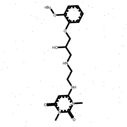 CCCCOc1ccccc1OCC(O)CNCCNc1cc(=O)n(C)c(=O)n1C